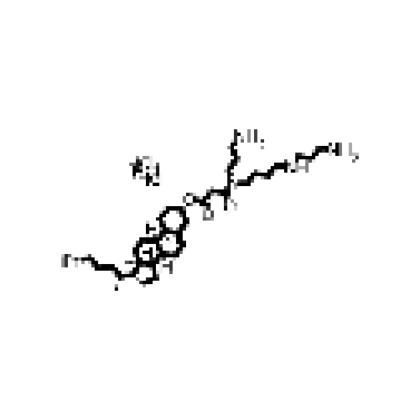 CC(C)CCC[C@@H](C)[C@H]1CC[C@H]2[C@@H]3CC=C4C[C@@H](OC(=O)CC(=O)N(CCCN)CCCCNCCCN)CC[C@]4(C)[C@H]3CC[C@]12C.Cl.Cl.Cl